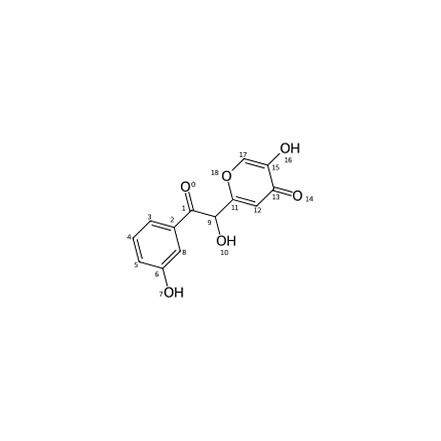 O=C(c1cccc(O)c1)C(O)c1cc(=O)c(O)co1